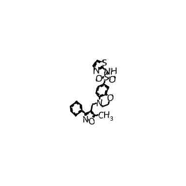 Cc1onc(-c2ccccc2)c1CN1CCOc2cc(S(=O)(=O)Nc3nccs3)ccc21